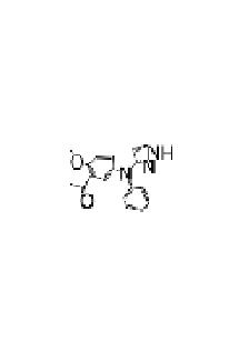 COc1ccc(N(c2ccccc2)c2cc[nH]n2)cc1C(C)=O